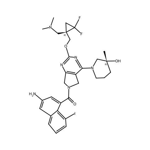 CN(C)C[C@@]1(COc2nc3c(c(N4CCC[C@@](C)(O)C4)n2)CN(C(=O)c2cc(N)cc4cccc(I)c24)C3)CC1(F)F